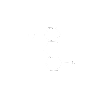 CCOC(=O)c1cccnc1Oc1cccc(C#N)c1